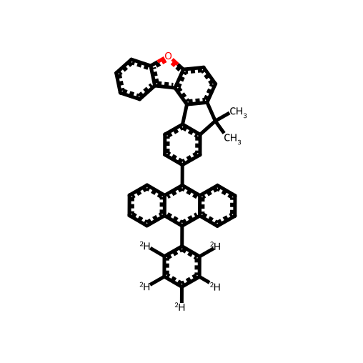 [2H]c1c([2H])c([2H])c(-c2c3ccccc3c(-c3ccc4c(c3)C(C)(C)c3ccc5oc6ccccc6c5c3-4)c3ccccc23)c([2H])c1[2H]